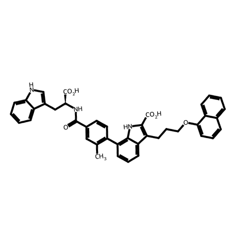 Cc1cc(C(=O)N[C@@H](Cc2c[nH]c3ccccc23)C(=O)O)ccc1-c1cccc2c(CCCOc3cccc4ccccc34)c(C(=O)O)[nH]c12